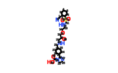 N#Cc1ccccc1S(=O)(=O)CNCCOCC(=O)CNCc1ccc(C2=NCCN2C(=O)O)cc1